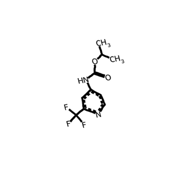 CC(C)OC(=O)Nc1ccnc(C(F)(F)F)c1